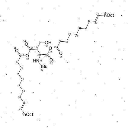 CCCCCCCCC=CCCCCCCCC(=O)OC(=O)C(CO)C(NC(C)(C)C)C(=O)OC(=O)CCCCCCCC=CCCCCCCCC